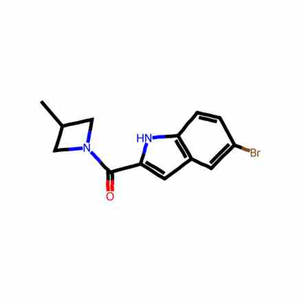 CC1CN(C(=O)c2cc3cc(Br)ccc3[nH]2)C1